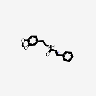 O=C(/C=C/c1ccccc1)NCCc1ccc2c(c1)OCO2